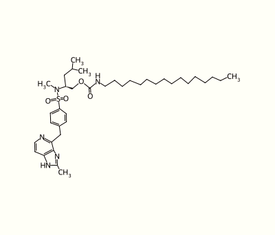 CCCCCCCCCCCCCCCCNC(=O)OC[C@H](CC(C)C)N(C)S(=O)(=O)c1ccc(Cc2nccc3[nH]c(C)nc23)cc1